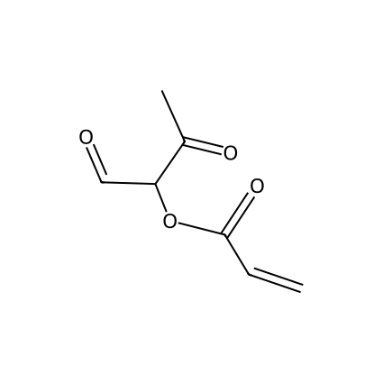 C=CC(=O)OC(C=O)C(C)=O